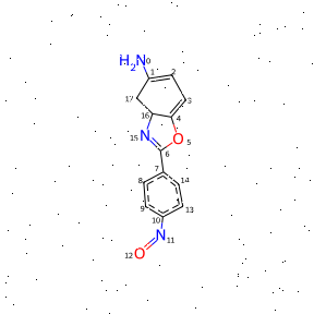 NC1=CC=C2OC(c3ccc(N=O)cc3)=NC2C1